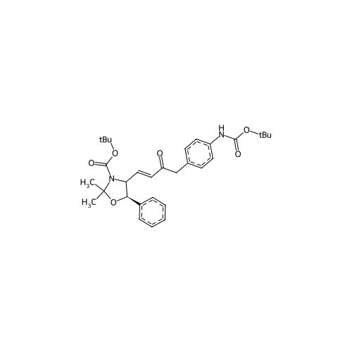 CC(C)(C)OC(=O)Nc1ccc(CC(=O)/C=C/C2[C@@H](c3ccccc3)OC(C)(C)N2C(=O)OC(C)(C)C)cc1